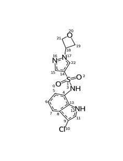 O=S(=O)(Nc1cccc2c(Cl)c[nH]c12)c1cnn(C2COC2)c1